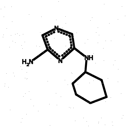 Nc1cncc(NC2CCCCC2)n1